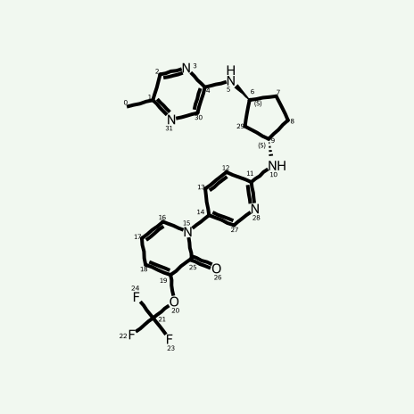 Cc1cnc(N[C@H]2CC[C@H](Nc3ccc(-n4cccc(OC(F)(F)F)c4=O)cn3)C2)cn1